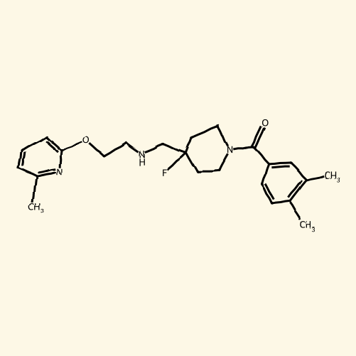 Cc1cccc(OCCNCC2(F)CCN(C(=O)c3ccc(C)c(C)c3)CC2)n1